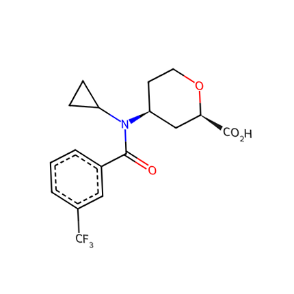 O=C(O)[C@H]1C[C@@H](N(C(=O)c2cccc(C(F)(F)F)c2)C2CC2)CCO1